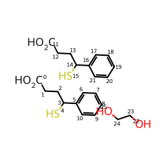 O=C(O)CCC(S)c1ccccc1.O=C(O)CCC(S)c1ccccc1.OCCO